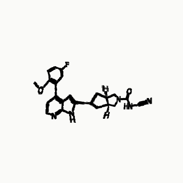 COc1ccc(F)cc1-c1ccnc2[nH]c([C@H]3C[C@@H]4CN(C(=O)NC#N)C[C@@H]4C3)cc12